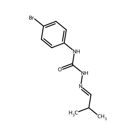 CC(C)C=NNC(=O)Nc1ccc(Br)cc1